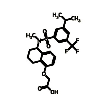 CC(C)c1cc(C(F)(F)F)cc(S(=O)(=O)N(C)C2CCCc3c(OCC(=O)O)cccc32)c1